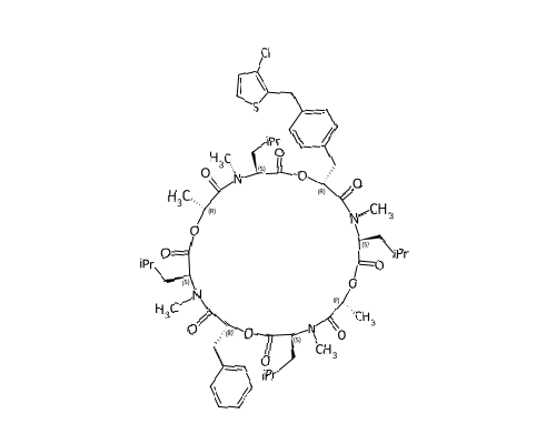 CC(C)C[C@H]1C(=O)O[C@H](Cc2ccc(Cc3sccc3Cl)cc2)C(=O)N(C)[C@@H](CC(C)C)C(=O)O[C@H](C)C(=O)N(C)[C@@H](CC(C)C)C(=O)O[C@H](Cc2ccccc2)C(=O)N(C)[C@@H](CC(C)C)C(=O)O[C@H](C)C(=O)N1C